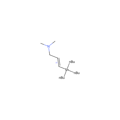 CCC[CH2][Sn](/[CH]=C/CN(C)C)([CH2]CCC)[CH2]CCC